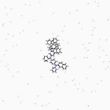 c1ccc(N(c2ccc(N(c3ccccc3)c3ccc4ccccc4c3)cc2)c2ccc3c(c2)-c2ccccc2C32c3ccccc3C(c3ccccc3)(c3ccccc3)c3ccccc32)cc1